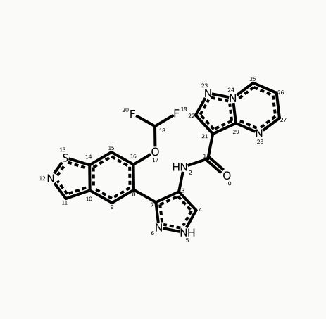 O=C(Nc1c[nH]nc1-c1cc2cnsc2cc1OC(F)F)c1cnn2cccnc12